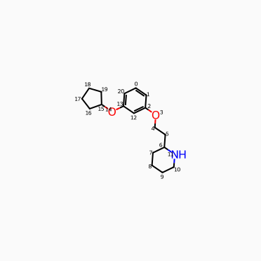 c1cc(OCCC2CCCCN2)cc(OC2CCCC2)c1